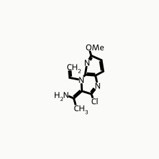 C=CN1/C(=C(/C)N)C(Cl)=Nc2ccc(OC)nc21